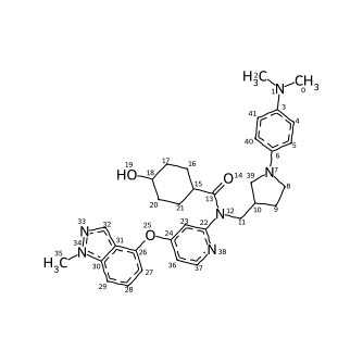 CN(C)c1ccc(N2CCC(CN(C(=O)C3CCC(O)CC3)c3cc(Oc4cccc5c4cnn5C)ccn3)C2)cc1